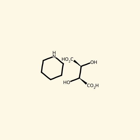 C1CCNCC1.O=C(O)[C@@H](O)[C@H](O)C(=O)O